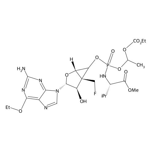 CCOC(=O)OC(C)OP(=O)(N[C@H](C(=O)OC)C(C)C)OC1[C@H]2O[C@@H](n3cnc4c(OCC)nc(N)nc43)[C@H](O)[C@@]12CF